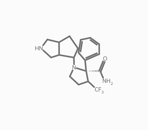 NC(=O)[C@]1(c2ccccc2)C(C(F)(F)F)CCN1C1CCC2CNCC21